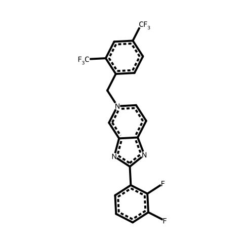 Fc1cccc(-c2nc3ccn(Cc4ccc(C(F)(F)F)cc4C(F)(F)F)cc-3n2)c1F